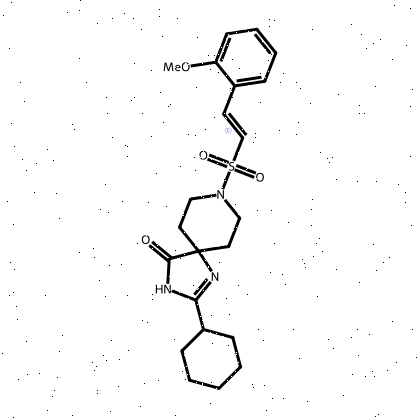 COc1ccccc1/C=C/S(=O)(=O)N1CCC2(CC1)N=C(C1CCCCC1)NC2=O